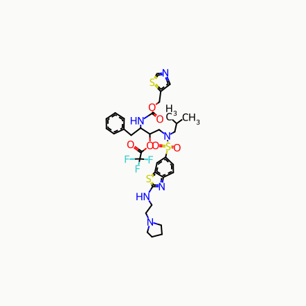 CC(C)CN(CC(OC(=O)C(F)(F)F)C(Cc1ccccc1)NC(=O)OCc1cncs1)S(=O)(=O)c1ccc2nc(NCCN3CCCC3)sc2c1